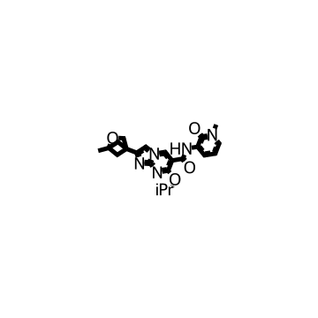 CC(C)Oc1nc2nc(C34COC(C)(C3)C4)cn2cc1C(=O)Nc1cccn(C)c1=O